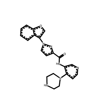 O=C(Nc1cnccc1N1CCNCC1)c1ccn(-c2coc3ccccc23)n1